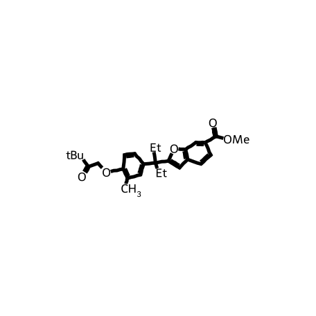 CCC(CC)(c1ccc(OCC(=O)C(C)(C)C)c(C)c1)c1cc2ccc(C(=O)OC)cc2o1